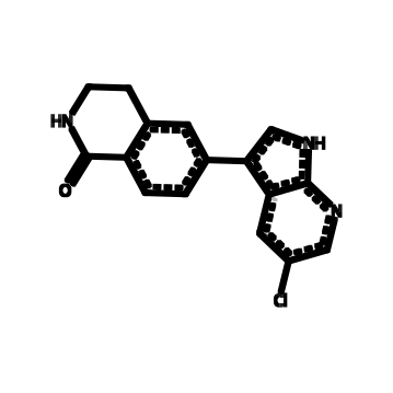 O=C1NCCc2cc(-c3c[nH]c4ncc(Cl)cc34)ccc21